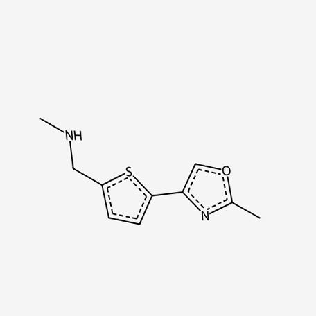 CNCc1ccc(-c2coc(C)n2)s1